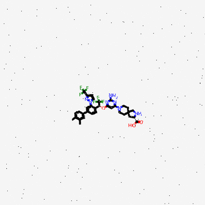 Cc1ccc(-c2ccc([C@@H](Oc3cc(N4CCC5(CC4)CN[C@H](C(=O)O)C5)nc(N)n3)C(F)(F)F)c(-n3ccc(C(F)(F)F)n3)c2)cc1C